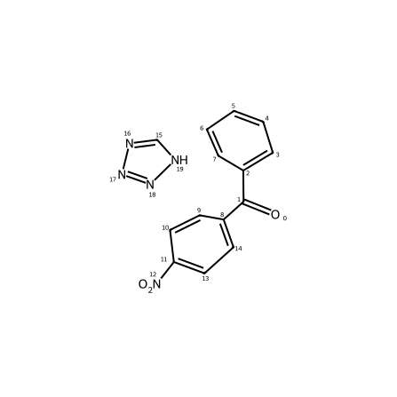 O=C(c1ccccc1)c1ccc([N+](=O)[O-])cc1.c1nnn[nH]1